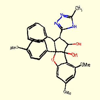 COc1ccc(C23Oc4cc(OC)cc(OC)c4C2(O)C(O)C(c2nnc(C)[nH]2)C3c2ccccc2)cc1